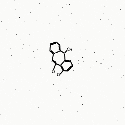 OC1c2ccccc2C=C(Cl)c2c(Cl)cccc21